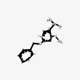 CCOc1cc(OCc2ccccc2)ncc1B(O)O